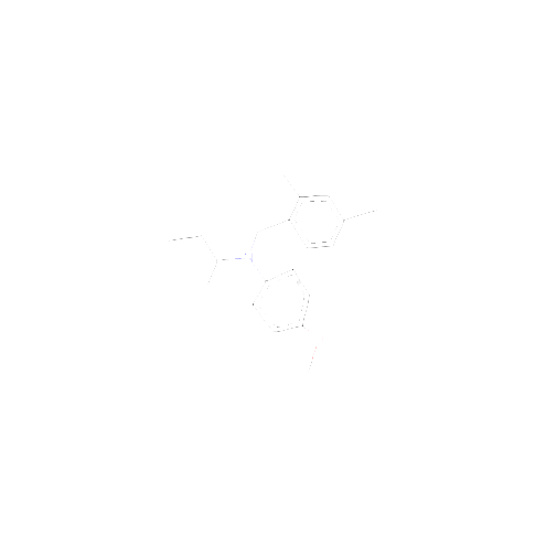 CCC(C)N(Cc1ccc(C)cc1C)c1ccc(OC)cc1